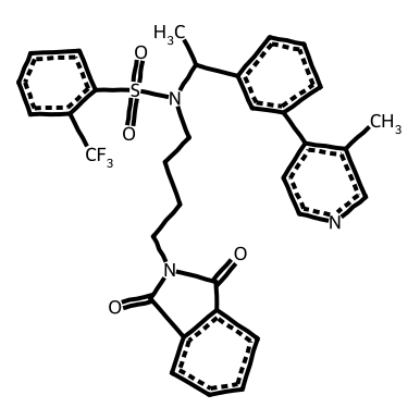 Cc1cnccc1-c1cccc(C(C)N(CCCCN2C(=O)c3ccccc3C2=O)S(=O)(=O)c2ccccc2C(F)(F)F)c1